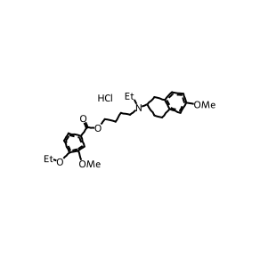 CCOc1ccc(C(=O)OCCCCN(CC)C2CCc3cc(OC)ccc3C2)cc1OC.Cl